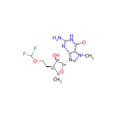 C[C@H]1O[C@@H](n2c[n+](C)c3c(=O)[nH]c(N)nc32)[C@H](O)[C@@H]1CCOC(F)F